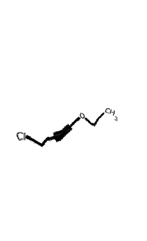 C[CH]OC#CCCl